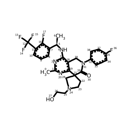 Cc1nc(N[C@H](C)c2cccc(C(F)(F)F)c2F)c2c(n1)C1(CCN(CCO)C1)C(=O)N(c1ccc(F)cc1)C2